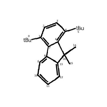 CC(C)(C)c1ccc(C(C)(C)C)c2c1-c1ccccc1C2(C)C